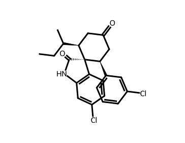 CCC(C)[C@H]1CC(=O)C[C@@H](c2cccc(Cl)c2)[C@]12C(=O)Nc1cc(Cl)ccc12